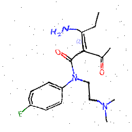 CC/C(N)=C(\C(C)=O)C(=O)N(CCN(C)C)c1ccc(F)cc1